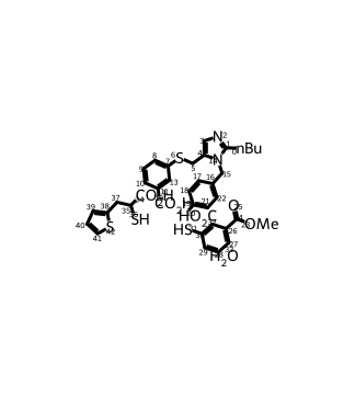 CCCCc1ncc(CSc2cccc(C(=O)O)c2)n1Cc1ccc(C(=O)O)cc1.COC(=O)c1cccc(S)c1.O.O=C(O)C(S)Cc1cccs1